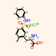 Cc1ccc(S(=O)(=O)Nc2ccccc2)cc1C[C@H](N)C(=O)O.Cl